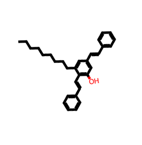 CCCCCCCCCc1cc(C=Cc2ccccc2)cc(O)c1C=Cc1ccccc1